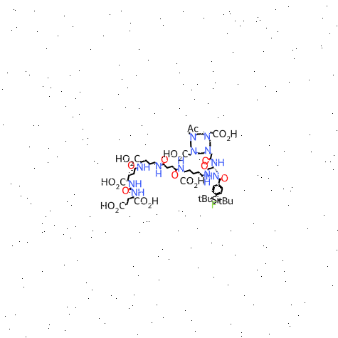 CC(=O)CN1CCN(CC(=O)O)CCN(CC(=O)N[C@H](CNC(=O)c2ccc([Si](F)(C(C)(C)C)C(C)(C)C)cc2)C(=O)N[C@H](CCCCNC(=O)CCC(=O)NCCC[C@@H](NC(=O)CC[C@H](NC(=O)N[C@@H](CCC(=O)O)C(=O)O)C(=O)O)C(=O)O)C(=O)O)CCN(CC(=O)O)CC1